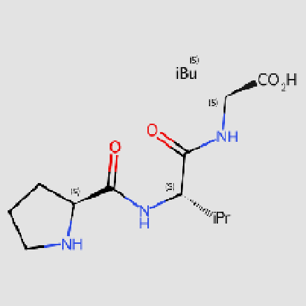 CC[C@H](C)[C@H](NC(=O)[C@@H](NC(=O)[C@@H]1CCCN1)C(C)C)C(=O)O